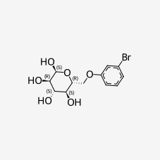 O[C@@H]1[C@@H](O)[C@@H](O)O[C@H](COc2cccc(Br)c2)[C@H]1O